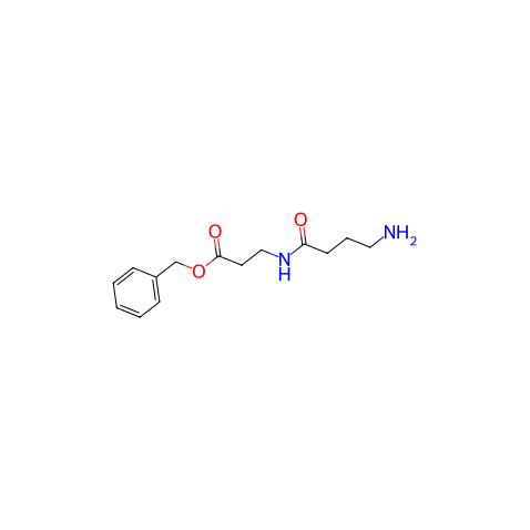 NCCCC(=O)NCCC(=O)OCc1ccccc1